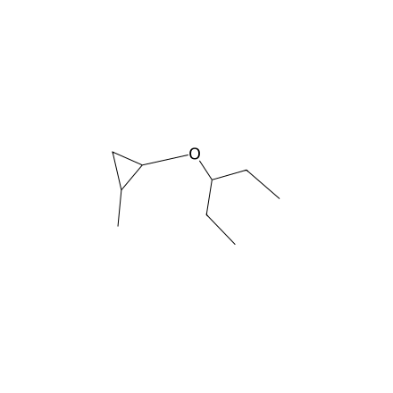 CCC(CC)OC1CC1C